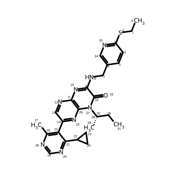 CCSc1ccc(CNc2nc3ncc(-c4c(C)ncnc4C4CC4)nc3n([C@@H](C)CC)c2=O)cn1